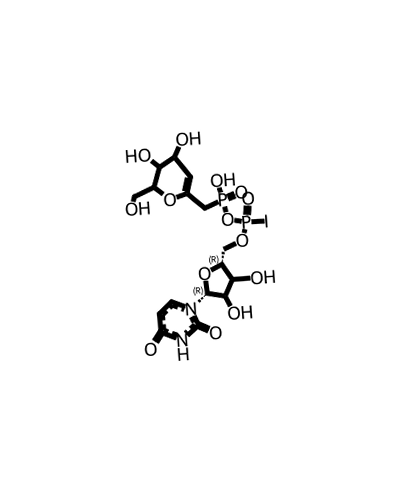 O=c1ccn([C@@H]2O[C@H](COP(=O)(I)OP(=O)(O)CC3=CC(O)C(O)C(CO)O3)C(O)C2O)c(=O)[nH]1